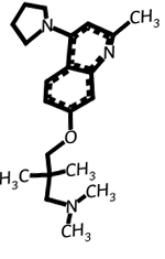 Cc1cc(N2CCCC2)c2ccc(OCC(C)(C)CN(C)C)cc2n1